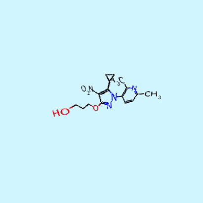 Cc1ccc(-n2nc(OCCCO)c([N+](=O)[O-])c2C2CC2)c(C)n1